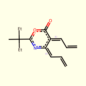 C=C/C=c1/nc(C(C)(CC)CC)oc(=O)/c1=C/C=C